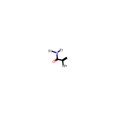 C=C(CCC)C(=O)N(CC)CC